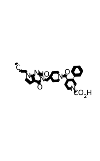 C=C=CCn1ccc2c(=O)n(CC3(O)CCN(C(=O)[C@@H]4CCN(C(=O)O)C[C@H]4c4ccccc4)CC3)cnc21